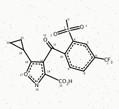 CS(=O)(=O)c1cc(C(F)(F)F)ccc1C(=O)c1c(C(=O)O)noc1C1CC1